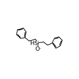 [O][SiH](CCc1ccccc1)CCc1ccccc1